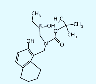 CC[C@H](O)CN(Cc1c(O)ccc2c1CCCC2)C(=O)OC(C)(C)C